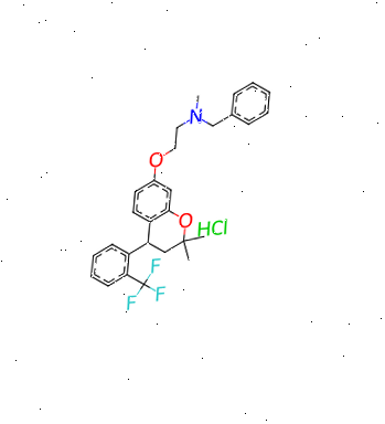 CN(CCOc1ccc2c(c1)OC(C)(C)CC2c1ccccc1C(F)(F)F)Cc1ccccc1.Cl